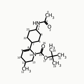 CC(=O)NC1CCC(C2=CCC(C)CN2C(=O)OC(C)(C)C)CC1